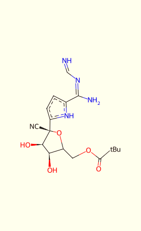 CC(C)(C)C(=O)OCC1O[C@@](C#N)(c2ccc(/C(N)=N\C=N)[nH]2)[C@H](O)[C@@H]1O